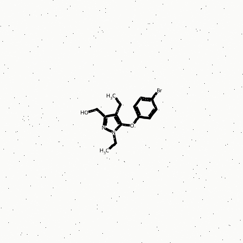 CCc1c(CO)nn(CC)c1Oc1ccc(Br)cc1